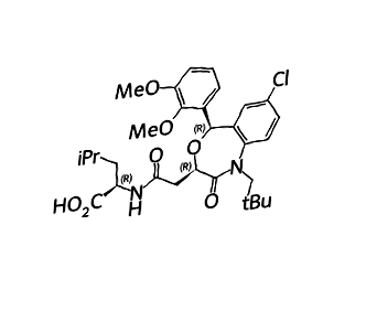 COc1cccc([C@@H]2O[C@H](CC(=O)N[C@H](CC(C)C)C(=O)O)C(=O)N(CC(C)(C)C)c3ccc(Cl)cc32)c1OC